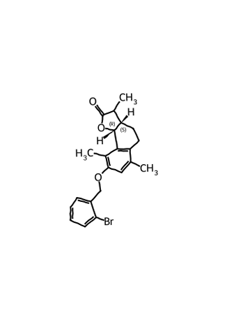 Cc1cc(OCc2ccccc2Br)c(C)c2c1CC[C@H]1C(C)C(=O)O[C@@H]21